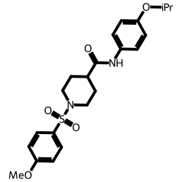 COc1ccc(S(=O)(=O)N2CCC(C(=O)Nc3ccc(OC(C)C)cc3)CC2)cc1